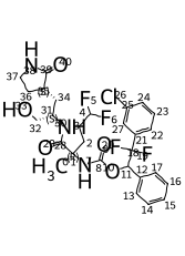 C[C@](CCC(F)F)(NC(=O)OC(c1ccccc1)C(F)(F)c1cccc(Cl)c1)C(=O)N[C@H](CO)C[C@@H]1CCNC1=O